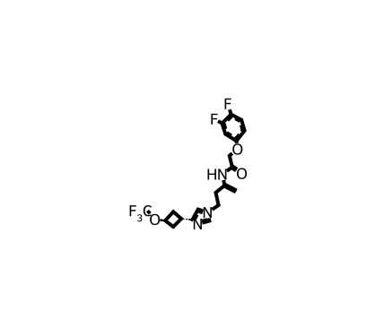 C=C(CCn1cnc([C@H]2C[C@H](OC(F)(F)F)C2)c1)NC(=O)COc1ccc(F)c(F)c1